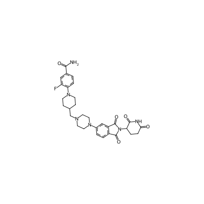 NC(=O)c1ccc(N2CCC(CN3CCN(c4ccc5c(c4)C(=O)N(C4CCC(=O)NC4=O)C5=O)CC3)CC2)c(F)c1